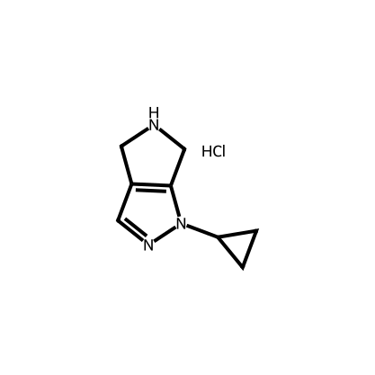 Cl.c1nn(C2CC2)c2c1CNC2